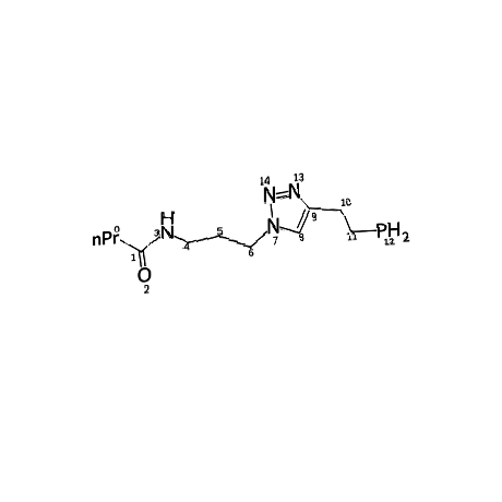 CCCC(=O)NCCCn1cc(CCP)nn1